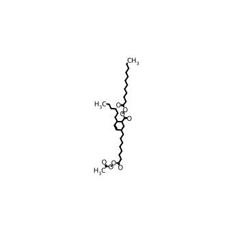 CCCCCCCCCCCC(=O)OOC(=O)C1CC(CCCCCCCC(=O)OOC(C)=O)C=CC1CCCCCC